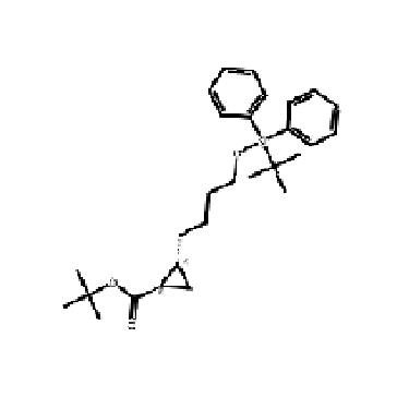 CC(C)(C)OC(=O)[C@@H]1C[C@H]1CCCCO[Si](c1ccccc1)(c1ccccc1)C(C)(C)C